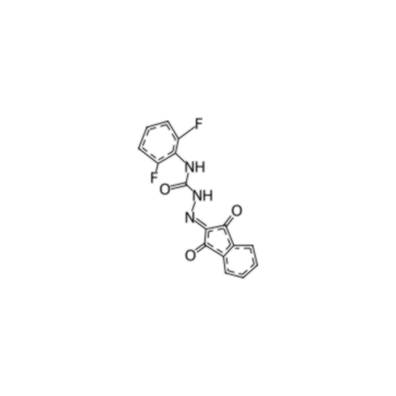 O=C(NN=c1c(=O)c2ccccc2c1=O)Nc1c(F)cccc1F